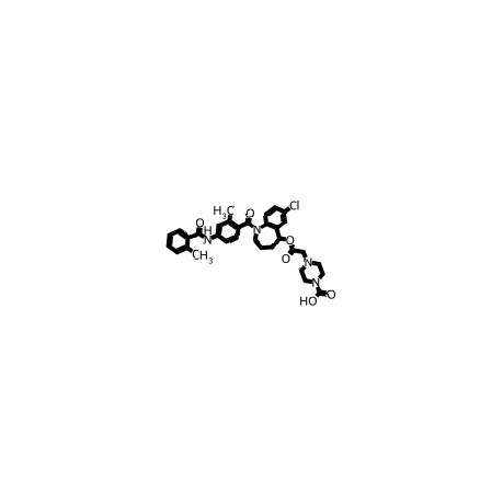 Cc1ccccc1C(=O)Nc1ccc(C(=O)N2CCCC(OC(=O)CN3CCN(C(=O)O)CC3)c3cc(Cl)ccc32)c(C)c1